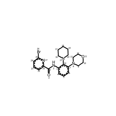 O=C(Nc1cccc(N2CCOCC2)c1N1CCCCC1)c1cccc(Br)n1